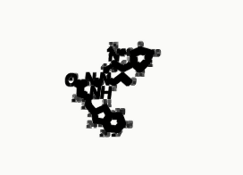 C=CCN(C[C@H](Cc1ccccc1)N(C)C)c1nc(=O)cc(CC2Cc3ccccc3C2)[nH]1